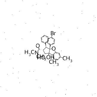 Cc1cc(C)c2c(c1)O[C@@]1(c3ccc(Br)cc3)[C@H](c3ccccc3)[C@@H](C(=O)N(C)C)[C@@H](O)[C@@]21O